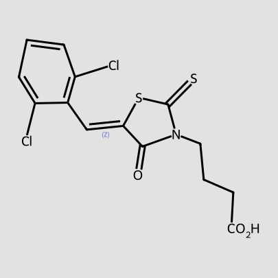 O=C(O)CCCN1C(=O)/C(=C/c2c(Cl)cccc2Cl)SC1=S